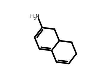 NC1=CC=C2C=CCCC2C1